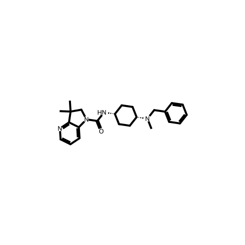 CN(Cc1ccccc1)[C@H]1CC[C@@H](NC(=O)N2CC(C)(C)c3ncccc32)CC1